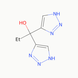 CCC(O)(c1c[nH]nn1)c1c[nH]nn1